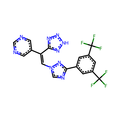 FC(F)(F)c1cc(-c2ncn(C=C(c3cncnc3)c3nn[nH]n3)n2)cc(C(F)(F)F)c1